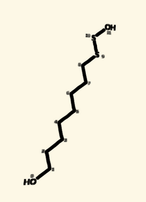 OCCCCCCCCSSO